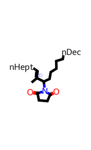 CCCCCCC/C=C(\C)C(CCCCCCCCCCCCCCC)N1C(=O)CCC1=O